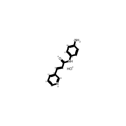 Cl.Nc1ccc(NC(=O)C=Cc2cccnc2)cc1